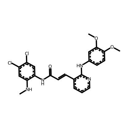 CNc1cc(Cl)c(Cl)cc1NC(=O)/C=C/c1cccnc1Nc1ccc(OC)c(OC)c1